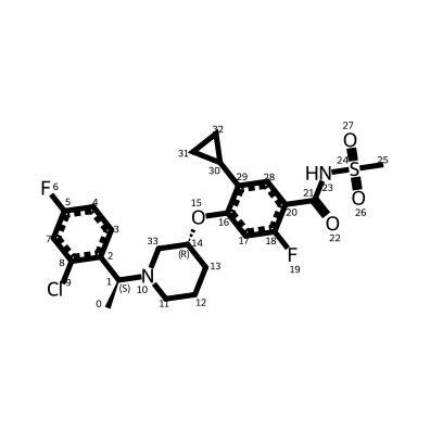 C[C@@H](c1ccc(F)cc1Cl)N1CCC[C@@H](Oc2cc(F)c(C(=O)NS(C)(=O)=O)cc2C2CC2)C1